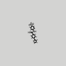 CS(=O)(=O)c1ccc(NC(=N)c2ccc(-c3cccs3)cc2)cc1